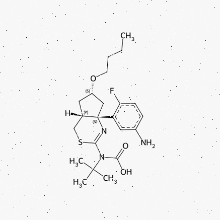 CCCCO[C@H]1C[C@H]2CSC(N(C(=O)O)C(C)(C)C)=N[C@@]2(c2cc(N)ccc2F)C1